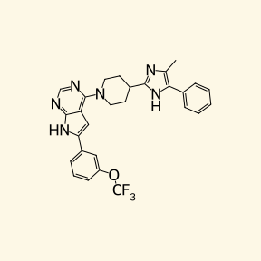 Cc1nc(C2CCN(c3ncnc4[nH]c(-c5cccc(OC(F)(F)F)c5)cc34)CC2)[nH]c1-c1ccccc1